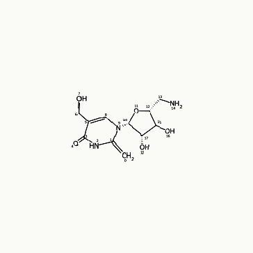 C=C1NC(=O)C(CO)=CN1[C@@H]1O[C@H](CN)C(O)[C@@H]1O